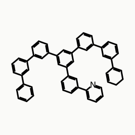 C1=CC(c2cccc(-c3cccc(-c4cc(-c5cccc(-c6cccc(-c7ccccc7)c6)c5)cc(-c5cccc(-c6ccccn6)c5)c4)c3)c2)=CCC1